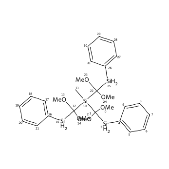 COC(OC)([SiH2]c1ccccc1)[Si](C)(C(OC)(OC)[SiH2]c1ccccc1)C(OC)(OC)[SiH2]c1ccccc1